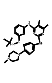 Cc1nc(Nc2ccc(N3CCN(C)CC3)cc2)nc(Nc2cccc(SNC(C)(C)C)c2)c1C